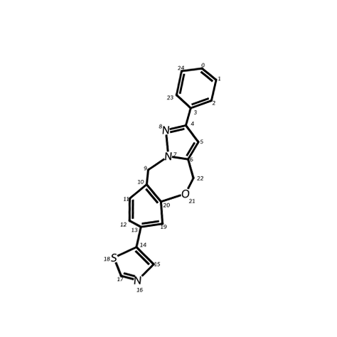 c1ccc(-c2cc3n(n2)Cc2ccc(-c4cncs4)cc2OC3)cc1